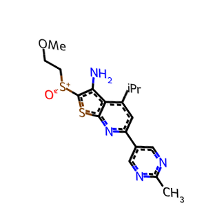 COCC[S@@+]([O-])c1sc2nc(-c3cnc(C)nc3)cc(C(C)C)c2c1N